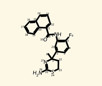 CC1(c2ccc(F)c(NC(=O)c3cccc4ccccc34)c2)CCSC(N)=N1